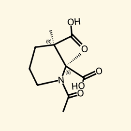 CC(=O)N1CCC[C@@](C)(C(=O)O)[C@@]1(C)C(=O)O